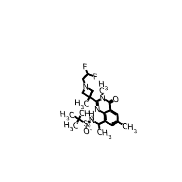 Cc1cc(C(C)N[S@+]([O-])C(C)(C)C)c2nc(C3(C)CN(CC(F)F)C3)n(C)c(=O)c2c1